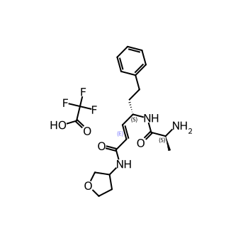 C[C@H](N)C(=O)N[C@H](/C=C/C(=O)NC1CCOC1)CCc1ccccc1.O=C(O)C(F)(F)F